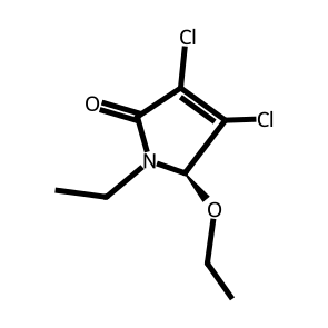 CCO[C@@H]1C(Cl)=C(Cl)C(=O)N1CC